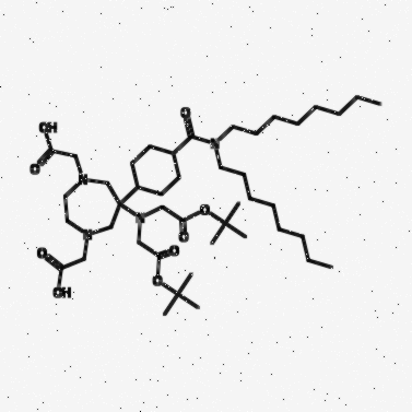 CCCCCCCCN(CCCCCCCC)C(=O)C1CCC(C2(N(CC(=O)OC(C)(C)C)CC(=O)OC(C)(C)C)CN(CC(=O)O)CCN(CC(=O)O)C2)CC1